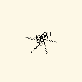 CCCCCCCCOc1c(O)c(OC(=O)O)c(CCCCCCCC)c(CCCCCCCC)c1OCCCCCCCC